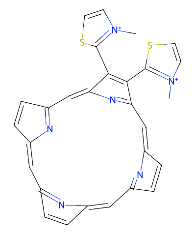 C[n+]1ccsc1C1=C(c2scc[n+]2C)C2=NC1=CC1=NC(=CC3=NC(=CC4=NC(=C2)C=C4)C=C3)C=C1